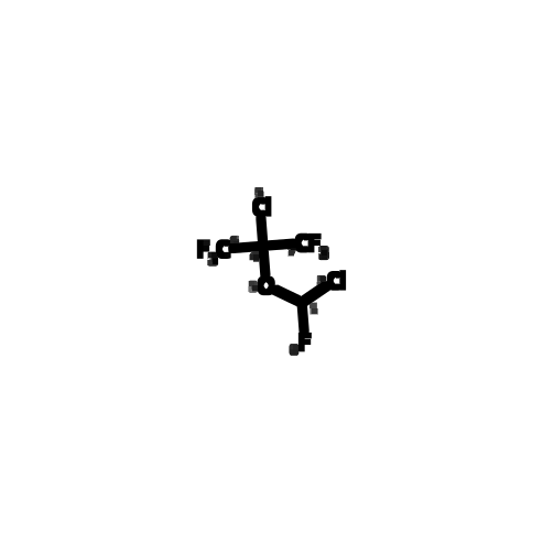 FC(Cl)OC(Cl)(C(F)(F)F)C(F)(F)F